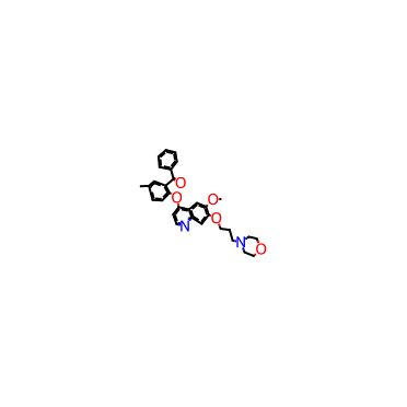 COc1cc2c(Oc3ccc(C)cc3C(=O)c3ccccc3)ccnc2cc1OCCCN1CCOCC1